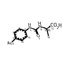 CC(=O)c1ccc(NC(=O)N[C@H](C)C(=O)O)cc1